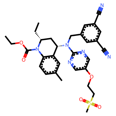 CCOC(=O)N1c2ccc(C)cc2[C@@H](N(Cc2cc(C#N)cc(C#N)c2)c2ncc(OCCS(C)(=O)=O)cn2)C[C@H]1CC